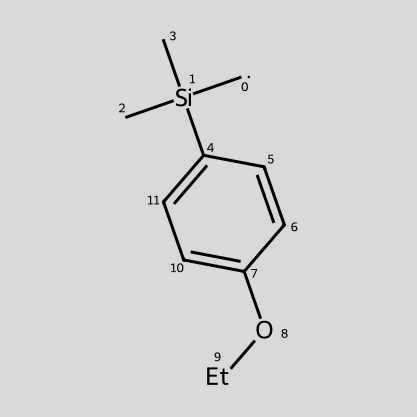 [CH2][Si](C)(C)c1ccc(OCC)cc1